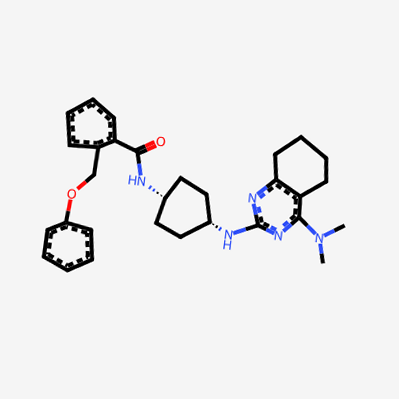 CN(C)c1nc(N[C@H]2CC[C@@H](NC(=O)c3ccccc3COc3ccccc3)CC2)nc2c1CCCC2